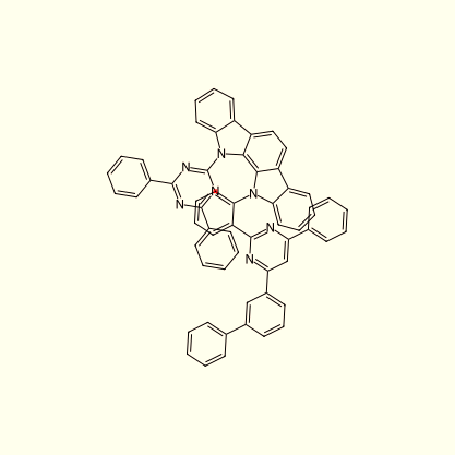 c1ccc(-c2cccc(-c3cc(-c4ccccc4)nc(-c4ccccc4-n4c5ccccc5c5ccc6c7ccccc7n(-c7nc(-c8ccccc8)nc(-c8ccccc8)n7)c6c54)n3)c2)cc1